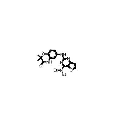 CCN(CC)c1nc(Nc2ccc3c(c2)NC(=O)C(C)(C)O3)nc2ccoc12